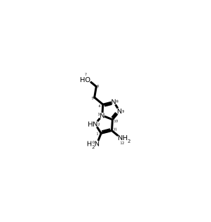 Nc1[nH]n2c(CCO)nnc2c1N